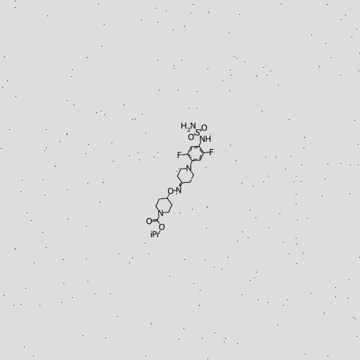 CC(C)OC(=O)N1CCC(ON=C2CCN(c3cc(F)c(NS(N)(=O)=O)cc3F)CC2)CC1